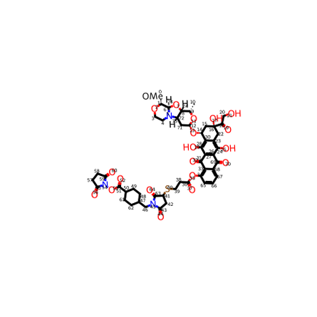 CO[C@H]1OCCN2[C@@H]1O[C@@H]1[C@H](C)O[C@@H](O[C@H]3C[C@](O)(C(=O)CO)Cc4c(O)c5c(c(O)c43)C(=O)c3c(OC(=O)CCSC4CC(=O)N(CC6CCC(C(=O)ON7C(=O)CCC7=O)CC6)C4=O)cccc3C5=O)C[C@@H]12